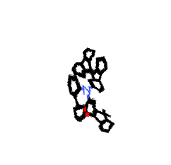 CC1(C)c2ccccc2-c2ccc(N(C3=CC4=C(CC3)c3ccccc3C43c4ccccc4-c4ccccc43)c3ccccc3-c3ccccc3)cc21